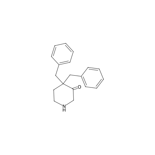 O=C1CNCCC1(Cc1ccccc1)Cc1ccccc1